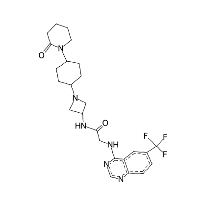 O=C(CNc1ncnc2ccc(C(F)(F)F)cc12)NC1CN(C2CCC(N3CCCCC3=O)CC2)C1